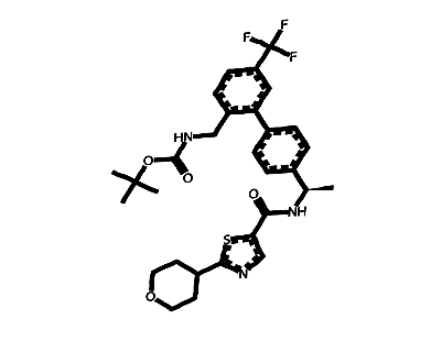 C[C@@H](NC(=O)c1cnc(C2CCOCC2)s1)c1ccc(-c2cc(C(F)(F)F)ccc2CNC(=O)OC(C)(C)C)cc1